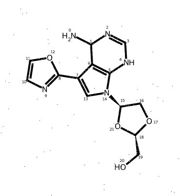 NC1N=CNc2c1c(-c1ncco1)cn2[C@H]1CO[C@@H](CO)O1